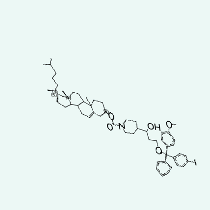 COc1ccc(C(OCCC(O)C2CCN(C(=O)O[C@@H]3CCC4(C)C(=CCC5C4CC[C@]4(C)C5CC[C@H]4[C@@H](C)CCCC(C)C)C3)CC2)(c2ccccc2)c2ccc(I)cc2)cc1